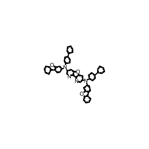 c1ccc(-c2ccc(N(c3ccc4c(c3)oc3ccccc34)c3cnc4c(c3)oc3cc(N(c5ccc(-c6ccccc6)cc5)c5ccc6c(c5)oc5ccccc56)cnc34)cc2)cc1